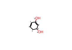 OC1=CC(O)CC=C1